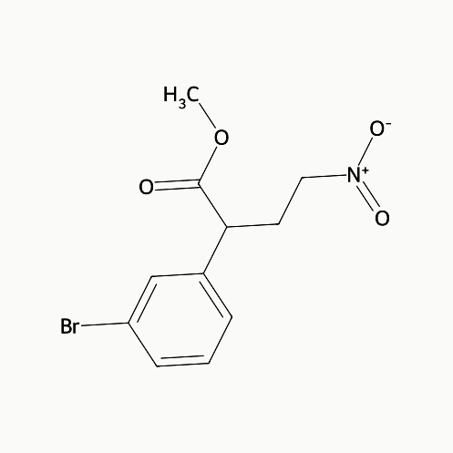 COC(=O)C(CC[N+](=O)[O-])c1cccc(Br)c1